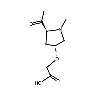 CC(=O)[C@@H]1C[C@@H](OCC(=O)O)CN1C